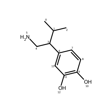 CC(C)C(CN)c1ccc(O)c(O)c1